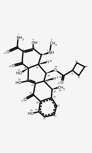 CN[C@@H]1C(O)=C(C(N)=O)C(=O)[C@@]2(O)C(O)=C3C(=O)c4c(O)cccc4[C@H](C)[C@H]3[C@H](OC(=O)C3CCC3)[C@@H]12